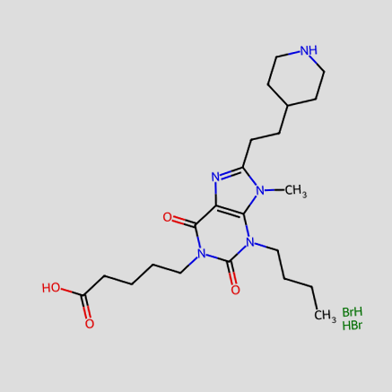 Br.Br.CCCCn1c(=O)n(CCCCC(=O)O)c(=O)c2nc(CCC3CCNCC3)n(C)c21